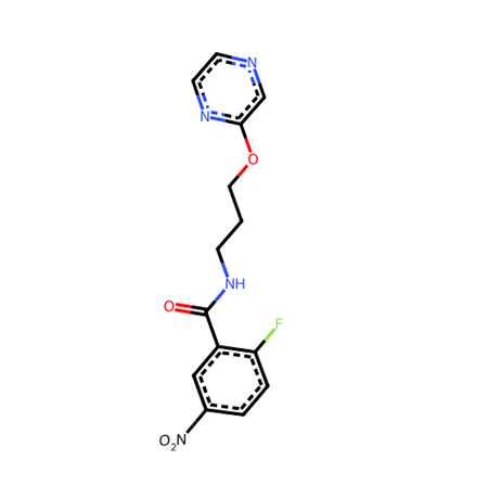 O=C(NCCCOc1cnccn1)c1cc([N+](=O)[O-])ccc1F